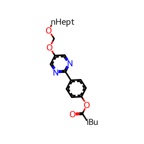 CCCCCCCOCOc1cnc(-c2ccc(OC(=O)C(C)CC)cc2)nc1